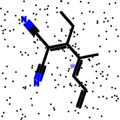 C=C/C=C(\C)C(CC)=C(C#N)C#N